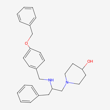 OC1CCN(CC(Cc2ccccc2)NCc2ccc(OCc3ccccc3)cc2)CC1